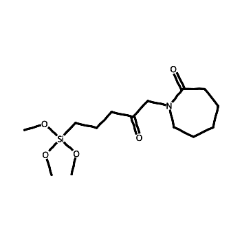 CO[Si](CCCC(=O)CN1CCCCCC1=O)(OC)OC